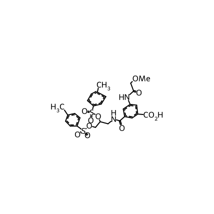 COCC(=O)Nc1cc(C(=O)O)cc(C(=O)NCC(COS(=O)(=O)c2ccc(C)cc2)OS(=O)(=O)c2ccc(C)cc2)c1